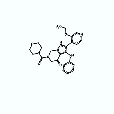 O=C1CN(C(=O)N2CCOCC2)Cc2[nH]c(-c3ccncc3OCC(F)(F)F)c(Nc3ccccc3)c21